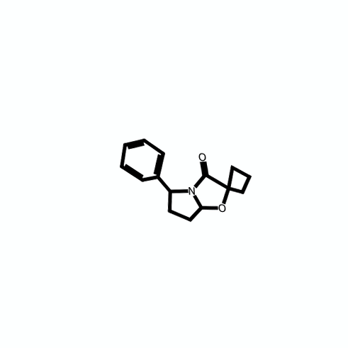 O=C1N2C(CCC2c2ccccc2)OC12CCC2